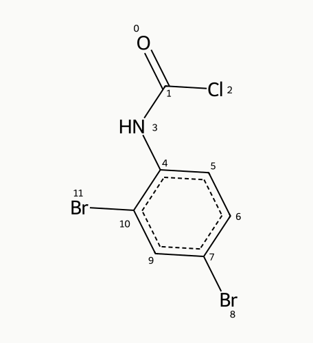 O=C(Cl)Nc1ccc(Br)cc1Br